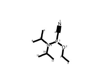 CCOP(C#N)N(C(C)C)C(C)C